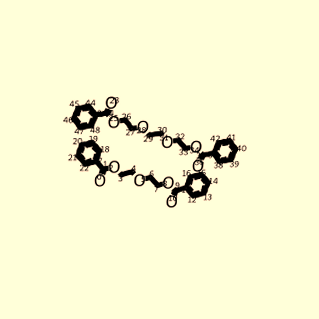 O=C(OCCOCCOC(=O)c1ccccc1)c1ccccc1.O=C(OCCOCCOCCOC(=O)c1ccccc1)c1ccccc1